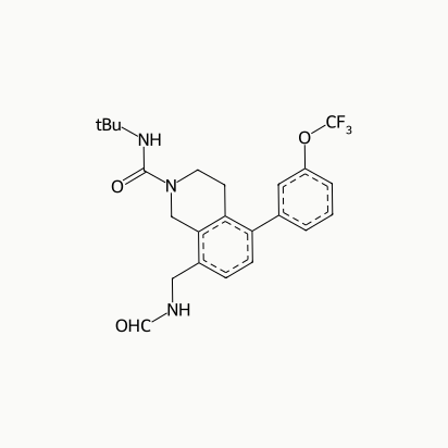 CC(C)(C)NC(=O)N1CCc2c(-c3cccc(OC(F)(F)F)c3)ccc(CNC=O)c2C1